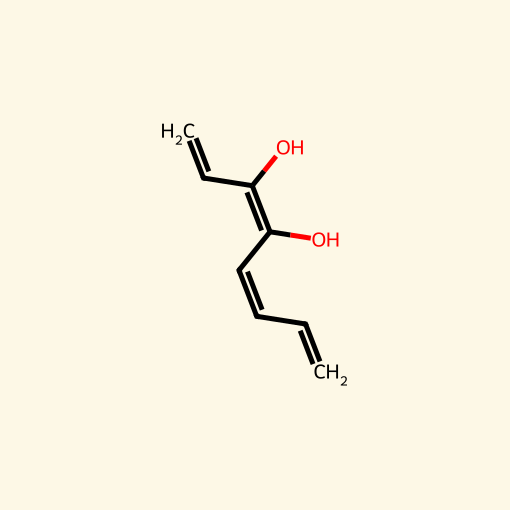 C=C/C=C\C(O)=C(\O)C=C